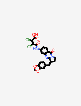 O=C(O)/C(Cl)=C(/Cl)C(=O)Nc1ccc2c(=O)n3c(nc2c1)/C(=C\c1ccc2c(c1)OCO2)CC3